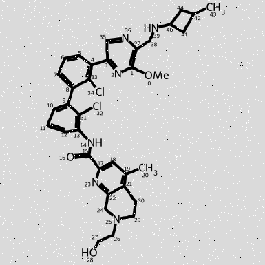 COc1nc(-c2cccc(-c3cccc(NC(=O)c4cc(C)c5c(n4)CN(CCO)CC5)c3Cl)c2Cl)cnc1CNC1CC(C)C1